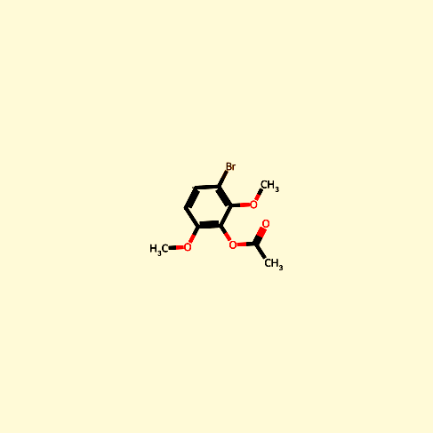 COc1c[c]c(Br)c(OC)c1OC(C)=O